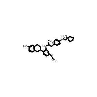 COc1ccc(C2CCc3cc(O)ccc3C2)c(NC(C)Cc2ccc(OCC3(N)CCCC3)cc2)c1